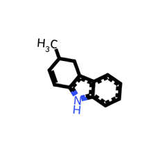 CC1C=Cc2[nH]c3ccccc3c2C1